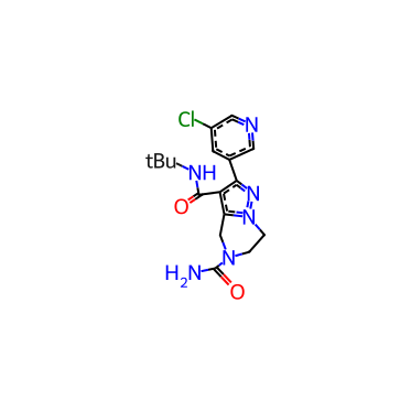 CC(C)(C)NC(=O)c1c(-c2cncc(Cl)c2)nn2c1CN(C(N)=O)CC2